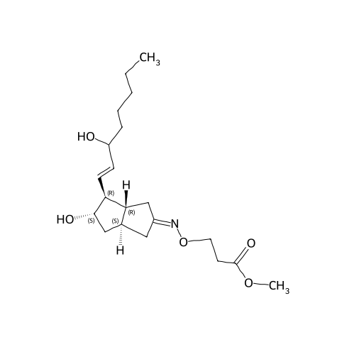 CCCCCC(O)C=C[C@H]1[C@@H]2CC(=NOCCC(=O)OC)C[C@H]2C[C@@H]1O